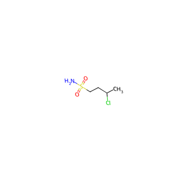 CC(Cl)CCS(N)(=O)=O